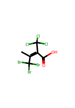 C/C(=C(/C(=O)O)C(Cl)(Cl)Cl)C(Br)(Br)Br